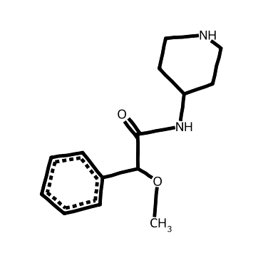 COC(C(=O)NC1CCNCC1)c1ccccc1